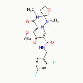 CCCCOc1c2n(cc(C(=O)NCc3ccc(F)cc3F)c1=O)N(C)C1(CCOC1)N(C)C2=O